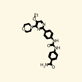 CCOc1cnc(-c2ccc(NC(=O)Nc3ccc(C(N)=O)cc3)cc2)nc1N1CCOCC1